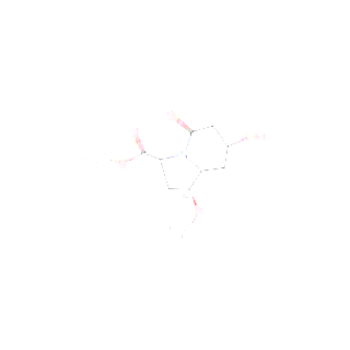 COC(=O)C1C[C@H](OC)C2CC(O)CC(=O)N12